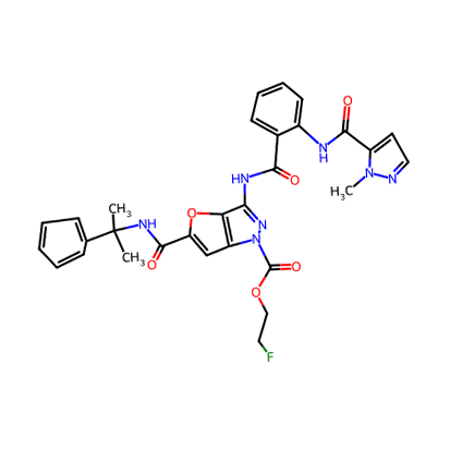 Cn1nccc1C(=O)Nc1ccccc1C(=O)Nc1nn(C(=O)OCCF)c2cc(C(=O)NC(C)(C)c3ccccc3)oc12